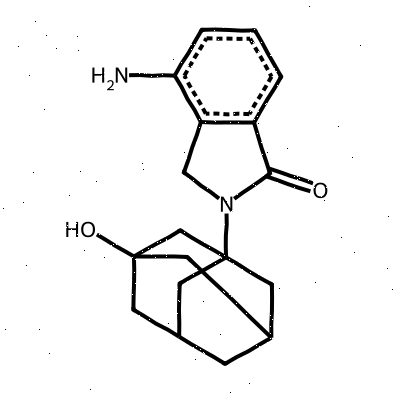 Nc1cccc2c1CN(C13CC4CC(CC(O)(C4)C1)C3)C2=O